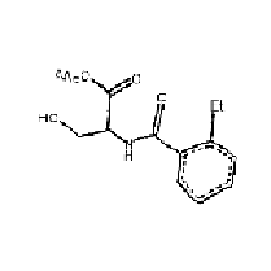 CCc1ccccc1C(=O)NC(CO)C(=O)OC